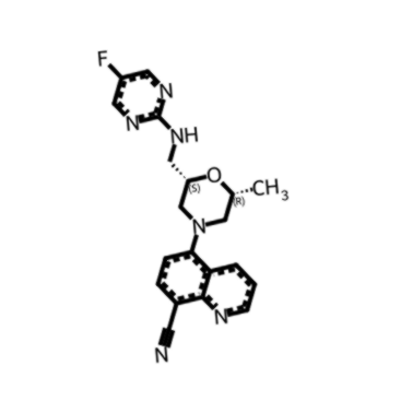 C[C@@H]1CN(c2ccc(C#N)c3ncccc23)C[C@H](CNc2ncc(F)cn2)O1